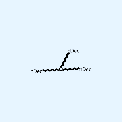 CCCCCCCCCCCCCCCCCC[O+](CCCCCCCCCCCCCCCCCC)CCCCCCCCCCCCCCCCCC